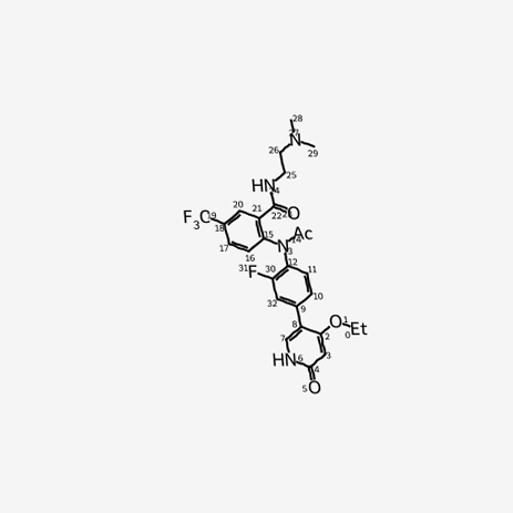 CCOc1cc(=O)[nH]cc1-c1ccc(N(C(C)=O)c2ccc(C(F)(F)F)cc2C(=O)NCCN(C)C)c(F)c1